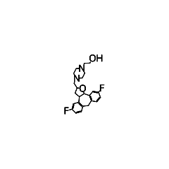 OCCN1CCN(CC2CC3c4cc(F)ccc4Cc4ccc(F)cc4C3O2)CC1